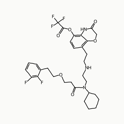 O=C1COc2c(CCNCCN(C(=O)CCOCCc3cccc(F)c3F)C3CCCCC3)ccc(OC(=O)C(F)(F)F)c2N1